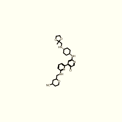 CC1(CN[C@H]2CC[C@H](Nc3cc(-c4cccc(NCC5CC(C#N)CCO5)n4)c(Cl)cn3)CC2)OCCO1